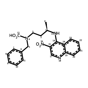 C[C@H](CCN(Cc1ccccc1)C(=O)O)Nc1c([N+](=O)[O-])cnc2ccccc12